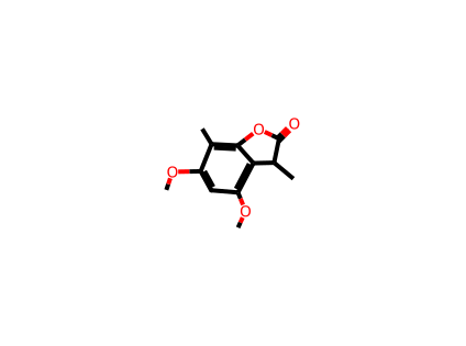 COc1cc(OC)c2c(c1C)OC(=O)C2C